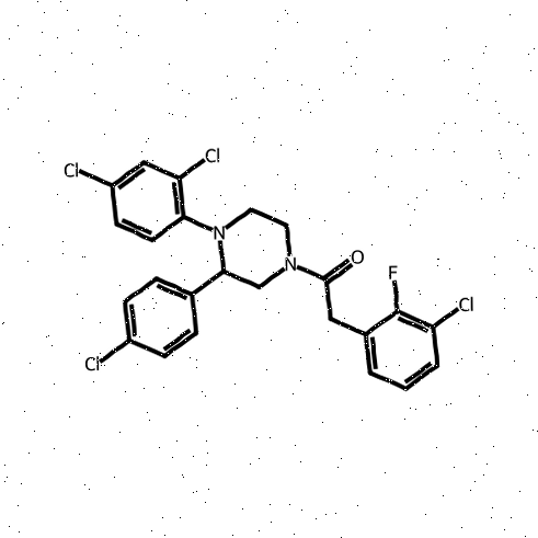 O=C(Cc1cccc(Cl)c1F)N1CCN(c2ccc(Cl)cc2Cl)C(c2ccc(Cl)cc2)C1